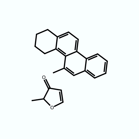 CC1OC=CC1=O.Cc1cc2ccccc2c2ccc3c(c12)CCCC3